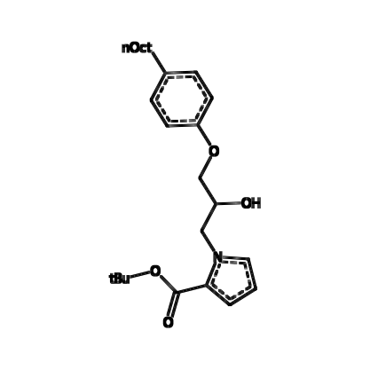 CCCCCCCCc1ccc(OCC(O)Cn2cccc2C(=O)OC(C)(C)C)cc1